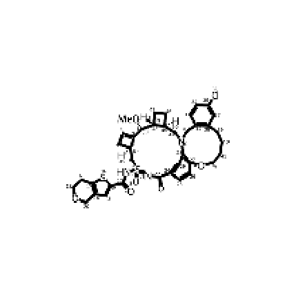 CO[C@H]1C2=CC[C@@H]2CS(=O)(NC(=O)c2cc3c(s2)CCOC3)=NC(=O)c2ccc3c(c2)N(Cc2ccc(Cl)cc2CCCCO3)C[C@@H]2CC[C@H]21